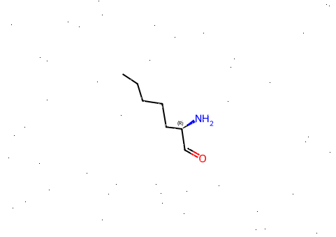 CCCCC[C@@H](N)C=O